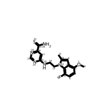 COc1ccc(F)c2c1cc(C)n2CCNc1cc(C(N)=S)ncn1